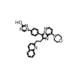 Oc1ncn(-c2ccc(-c3c(CCc4ccc5ccccc5n4)nc4c(N5CCOCC5)ccnn34)cc2)n1